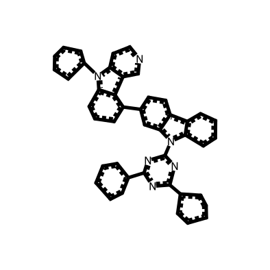 c1ccc(-c2nc(-c3ccccc3)nc(-n3c4ccccc4c4ccc(-c5cccc6c5c5cnccc5n6-c5ccccc5)cc43)n2)cc1